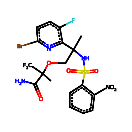 CC(COC(C)(C(N)=O)C(F)(F)F)(NS(=O)(=O)c1ccccc1[N+](=O)[O-])c1nc(Br)ccc1F